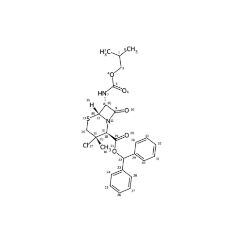 CC(C)COC(=O)N[C@@H]1C(=O)N2[C@@H]1SC[C@@](C)(Cl)[C@@H]2C(=O)OC(c1ccccc1)c1ccccc1